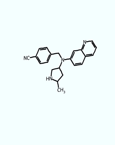 CC1CC(N(Cc2ccc(C#N)cc2)c2ccc3cccnc3c2)CN1